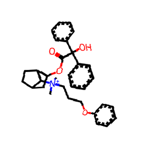 C[N+](C)(CCCOc1ccccc1)C1C2CCC1C(OC(=O)C(O)(c1ccccc1)c1ccccc1)C2